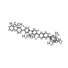 CC1(C)c2ccccc2-c2ccc(-c3ccc4c(c3)C(C)(C)c3cc(-c5ccc6cc(B7OC(C)(C)C(C)(C)O7)ccc6c5)ccc3-4)cc21